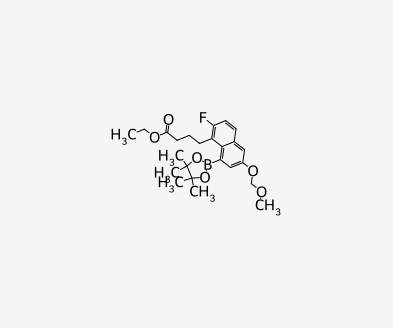 CCOC(=O)CCCc1c(F)ccc2cc(OCOC)cc(B3OC(C)(C)C(C)(C)O3)c12